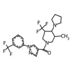 CC1CN(C(=O)c2cnn(-c3cccc(C(F)(F)F)c3)c2)CC(C(F)(F)F)C1N1CCCC1